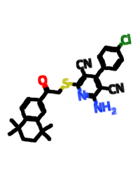 CC1(C)CCC(C)(C)c2cc(C(=O)CSc3nc(N)c(C#N)c(-c4ccc(Cl)cc4)c3C#N)ccc21